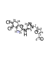 CC(=O)c1ccc(Cn2cc(NC(=O)/C=C\c3cccc(Cl)c3Cl)cn2)o1